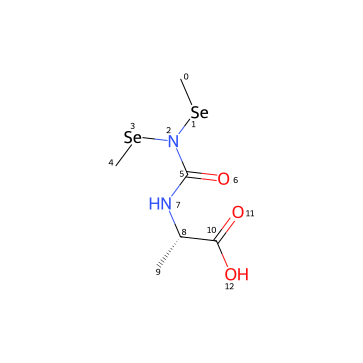 C[Se]N([Se]C)C(=O)N[C@@H](C)C(=O)O